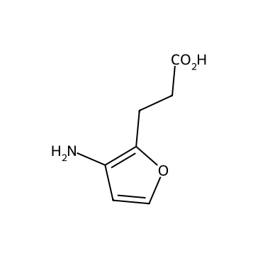 Nc1ccoc1CCC(=O)O